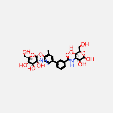 Cc1cc(-c2cccc(C(=O)NC3[C@H](O)C(O)OC(CO)[C@H]3O)c2)ccc1O[C@H]1O[C@H](CO)[C@@H](O)[C@H](O)[C@]1(N)O